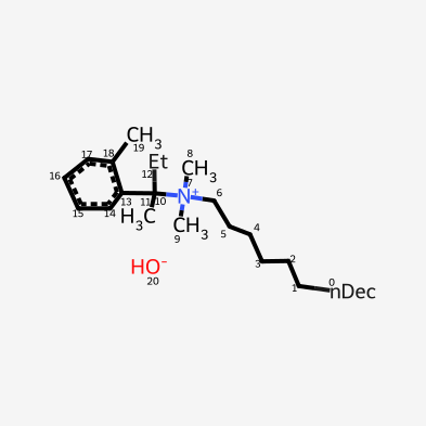 CCCCCCCCCCCCCCCC[N+](C)(C)C(C)(CC)c1ccccc1C.[OH-]